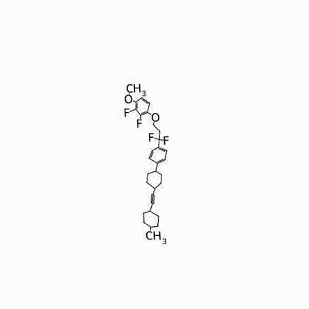 COc1ccc(OCCC(F)(F)c2ccc(C3CCC(C#CC4CCC(C)CC4)CC3)cc2)c(F)c1F